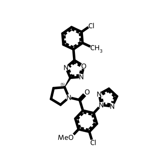 COc1cc(C(=O)N2CCC[C@H]2c2noc(-c3cccc(Cl)c3C)n2)c(-n2nccn2)cc1Cl